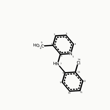 O=C(O)c1cccnc1Nc1ccccc1Cl